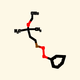 COCOC(C)(C)CCSOOc1ccccc1